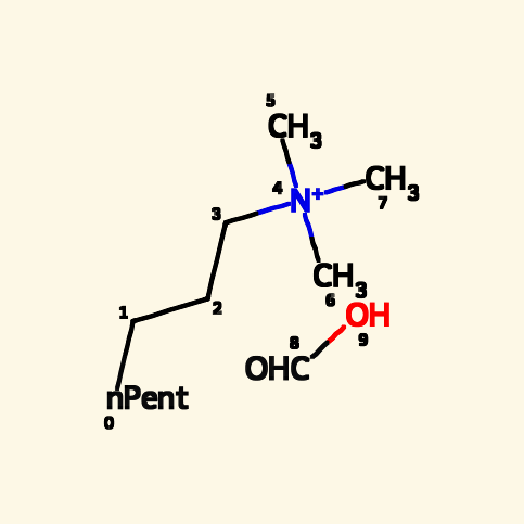 CCCCCCCC[N+](C)(C)C.O=CO